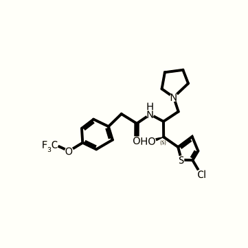 O=C(Cc1ccc(OC(F)(F)F)cc1)NC(CN1CCCC1)[C@H](O)c1ccc(Cl)s1